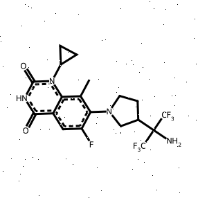 Cc1c(N2CCC(C(N)(C(F)(F)F)C(F)(F)F)C2)c(F)cc2c(=O)[nH]c(=O)n(C3CC3)c12